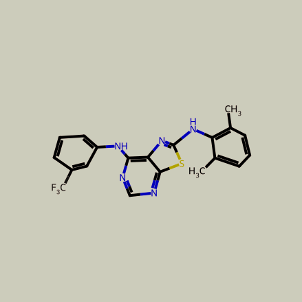 Cc1cccc(C)c1Nc1nc2c(Nc3cccc(C(F)(F)F)c3)ncnc2s1